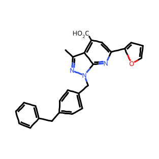 Cc1nn(Cc2ccc(Cc3ccccc3)cc2)c2nc(-c3ccco3)cc(C(=O)O)c12